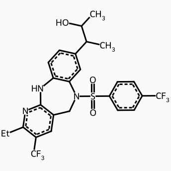 CCc1nc2c(cc1C(F)(F)F)CN(S(=O)(=O)c1ccc(C(F)(F)F)cc1)c1cc(C(C)C(C)O)ccc1N2